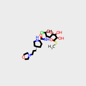 CSC1O[C@H]([C@H](NC(=O)[C@@H]2CC[C@H](CCCN3CCOCC3)CCN2)[C@H](C)Cl)C(O)C(O)[C@H]1O